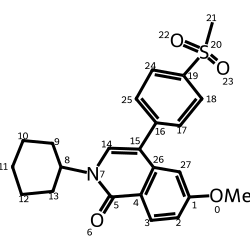 COc1ccc2c(=O)n(C3CCCCC3)cc(-c3ccc(S(C)(=O)=O)cc3)c2c1